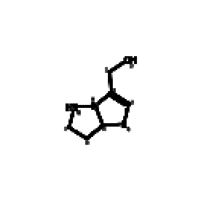 OCC1=CSC2CCNN12